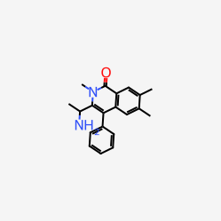 Cc1cc2c(-c3ccccc3)c(C(C)N)n(C)c(=O)c2cc1C